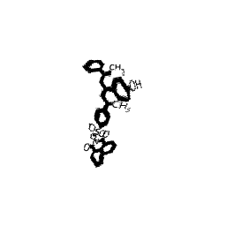 CCC(CC(CC(C)c1ccc(S(=O)(=O)ON2C(=O)c3cccc4cccc(c34)C2=O)cc1)c1ccc(O)cc1)c1ccccc1